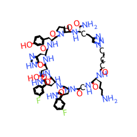 NCCCC[C@@H]1NC(=O)CCCCn2cc(nn2)CC[C@@H](C(N)=O)NC(=O)[C@@H]2CCCN2C(=O)[C@H](Cc2ccc(O)cc2)NC(=O)[C@H](Cc2c[nH]cn2)NC(=O)[C@H](CC(=O)O)NC(=O)[C@H](Cc2c[nH]c3ccc(F)cc23)NC(=O)[C@H](Cc2c[nH]c3ccc(F)cc23)NC(=O)CNC1=O